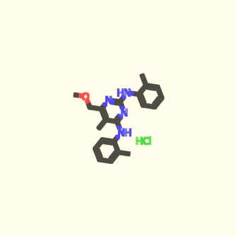 COCc1nc(Nc2ccccc2C)nc(Nc2ccccc2C)c1C.Cl